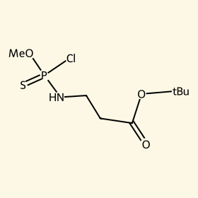 COP(=S)(Cl)NCCC(=O)OC(C)(C)C